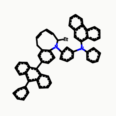 CCC1/C=C\C=C/Cc2cc(-c3c4ccccc4c(-c4ccccc4)c4ccccc34)ccc2N1c1cccc(N(c2ccccc2)c2cc3ccccc3c3ccccc23)c1